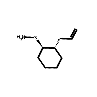 C=CC[C@@H]1CCCC[C@H]1SN